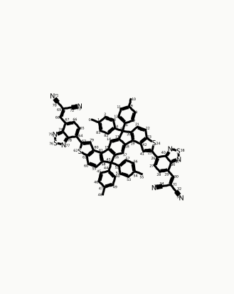 Cc1ccc(C2(c3ccc(C)cc3)c3cc4c(cc3-c3c2ccc2sc(-c5ccc(C=C(C#N)C#N)c6nsnc56)cc32)C(c2ccc(C)cc2)(c2ccc(C)cc2)c2ccc3sc(-c5ccc(C=C(C#N)C#N)c6nsnc56)cc3c2-4)cc1